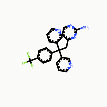 Nc1nccc(CC(c2ccc(C(F)(F)F)cc2)(c2cccnc2)c2cccnc2)n1